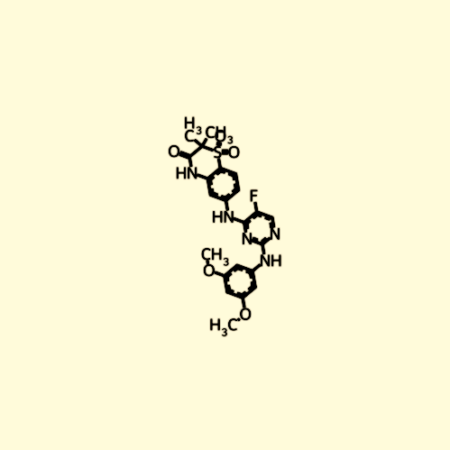 COc1cc(Nc2ncc(F)c(Nc3ccc4c(c3)NC(=O)C(C)(C)S4(=O)=O)n2)cc(OC)c1